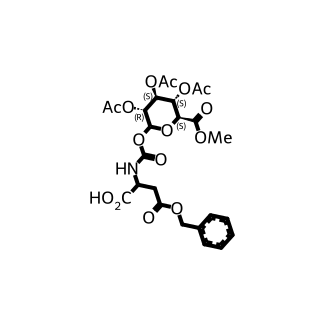 COC(=O)[C@H]1OC(OC(=O)NC(CC(=O)OCc2ccccc2)C(=O)O)[C@H](OC(C)=O)[C@@H](OC(C)=O)[C@@H]1OC(C)=O